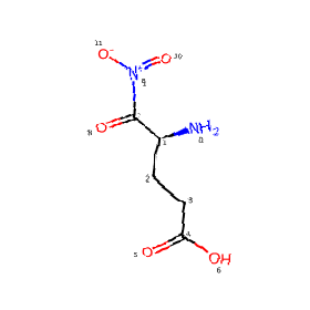 N[C@@H](CCC(=O)O)C(=O)[N+](=O)[O-]